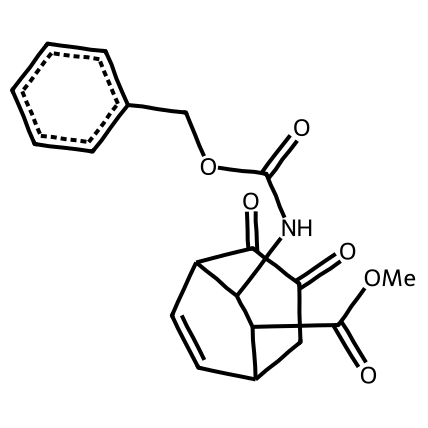 COC(=O)C1C2C=CC(C(=O)C(=O)C2)C1NC(=O)OCc1ccccc1